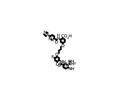 N=c1ccc(C(=O)Nc2cc(OCCCCOc3ccc(C(=O)O)c(NC(=O)c4ccc(-n5ccnc5)nn4)c3)c(F)cc2C(=O)O)nn1NN